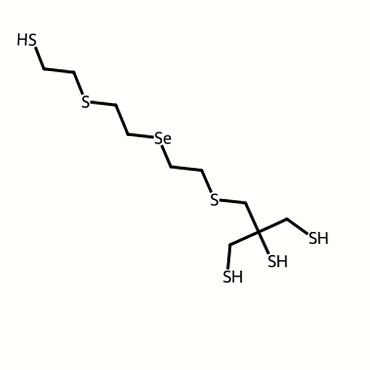 SCCSCC[Se]CCSCC(S)(CS)CS